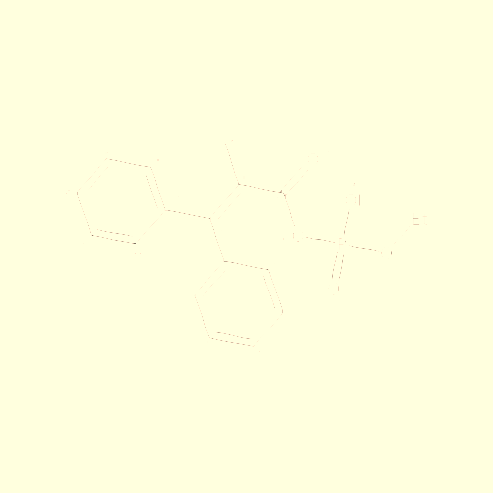 CCOP(=O)(O)OC(=O)C(C)=C(c1ccccc1)c1ccccc1